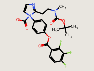 CN(CCC1=NC=C[N+]1(C(=O)[O-])c1ccc(OC(=O)c2ccc(F)c(F)c2F)cc1)C(=O)OC(C)(C)C